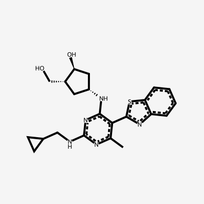 Cc1nc(NCC2CC2)nc(N[C@@H]2C[C@H](CO)[C@@H](O)C2)c1-c1nc2ccccc2s1